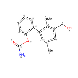 COc1c(CO)cc(C(C)(C)C)cc1-c1ccccc1OC(N)=O